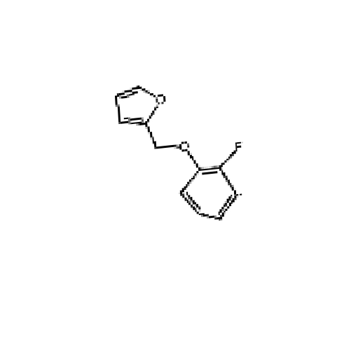 Fc1[c]cccc1OCc1ccco1